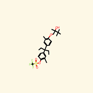 CCC(CC)(c1ccc(OCC(C)(O)C(C)(C)C)c(C)c1)c1ccc(OS(=O)(=O)C(F)(F)F)c(C)c1